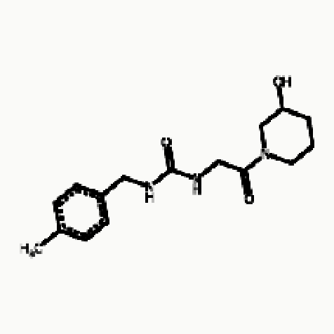 Cc1ccc(CNC(=O)NCC(=O)N2CCCC(O)C2)cc1